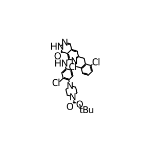 CC(C)(C)OC(=O)N1CCN(c2ccc(Nc3nc(Cc4c(Cl)cccc4Cl)cc4cn[nH]c(=O)c34)cc2Cl)CC1